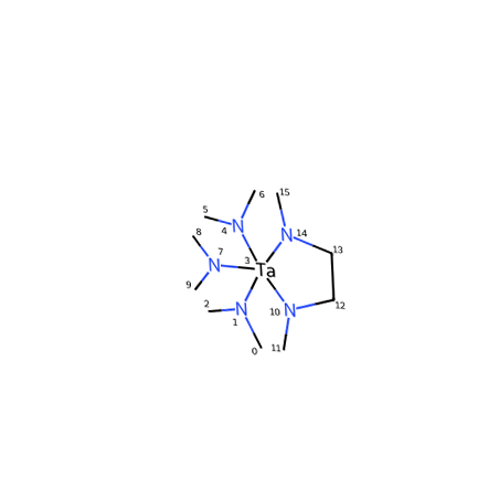 C[N](C)[Ta]1([N](C)C)([N](C)C)[N](C)CC[N]1C